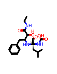 CCNC(=O)C(O)C(Cc1ccccc1)N[C@@](C=O)(CC(C)C)NC(=O)O